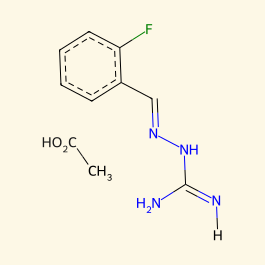 CC(=O)O.[H]/N=C(\N)NN=Cc1ccccc1F